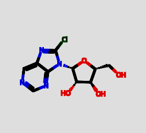 OC[C@H]1O[C@@H](n2c(Cl)nc3cncnc32)[C@@H](O)[C@@H]1O